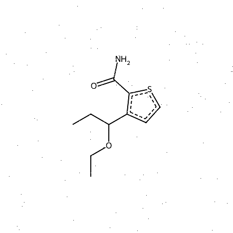 CCOC(CC)c1ccsc1C(N)=O